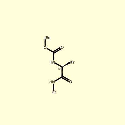 CCNC(=O)[C@@H](NC(=O)OC(C)(C)C)C(C)C